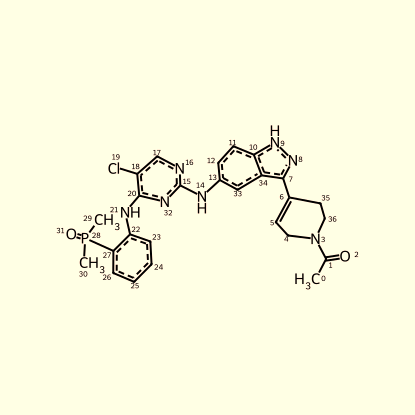 CC(=O)N1CC=C(c2n[nH]c3ccc(Nc4ncc(Cl)c(Nc5ccccc5P(C)(C)=O)n4)cc23)CC1